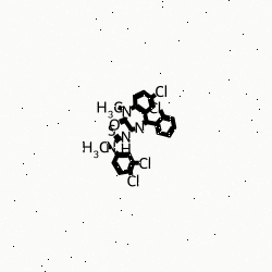 CN(C(=S)NC1N=C(c2ccccc2Cl)c2cc(Cl)ccc2N(C)C1=O)c1ccc(Cl)c(Cl)c1